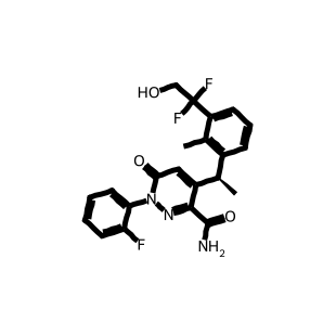 Cc1c([C@@H](C)c2cc(=O)n(-c3ccccc3F)nc2C(N)=O)cccc1C(F)(F)CO